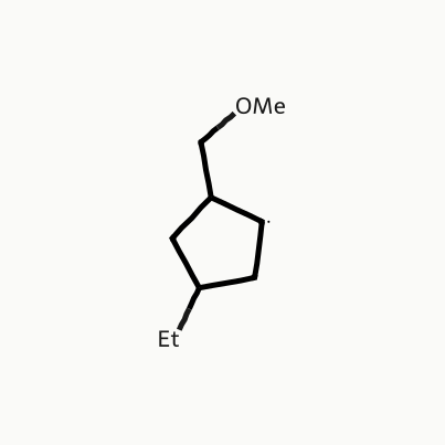 [CH2]CC1C[CH]C(COC)C1